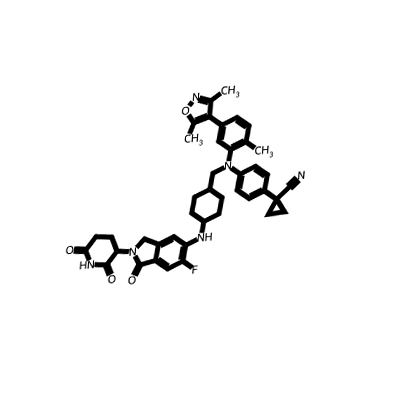 Cc1ccc(-c2c(C)noc2C)cc1N(CC1CCC(Nc2cc3c(cc2F)C(=O)N(C2CCC(=O)NC2=O)C3)CC1)c1ccc(C2(C#N)CC2)cc1